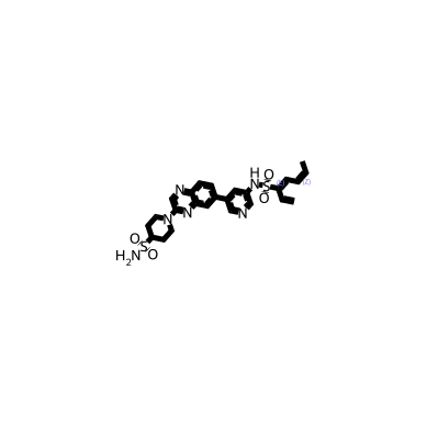 C=C/C(=C\C=C/C)S(=O)(=O)Nc1cncc(-c2ccc3ncc(N4CCC(S(N)(=O)=O)CC4)nc3c2)c1